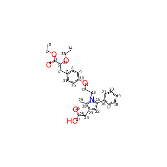 CCOC(=O)C(Cc1ccc(OCCn2c(-c3ccccc3)cc(CC(=O)O)c2C)cc1)OCC